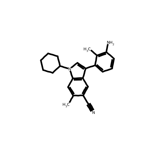 Cc1cc2c(cc1C#N)c(-c1cccc(N)c1C)cn2C1CCCCC1